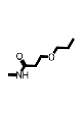 CCCOCCC(=O)NC